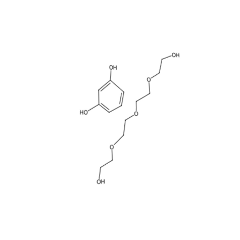 OCCOCCOCCOCCO.Oc1cccc(O)c1